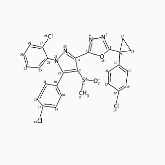 C[S+]([O-])c1c(-c2nnc(C3(c4ccc(Cl)cc4)CC3)o2)nn(-c2ccccc2Cl)c1-c1ccc(Cl)cc1